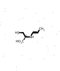 C/C=C/N[C@H](CS)C(=O)O